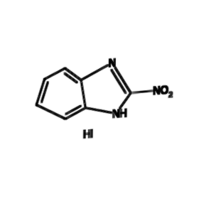 I.O=[N+]([O-])c1nc2ccccc2[nH]1